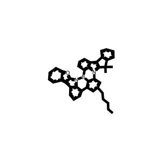 CCCCCc1cc2c3c(c1)-n1c4c(c5cccc(c51)B3n1c3oc5ccccc5c3c3cccc-2c31)-c1ccccc1C4(C)C